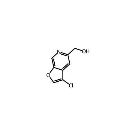 OCc1cc2c(Cl)coc2cn1